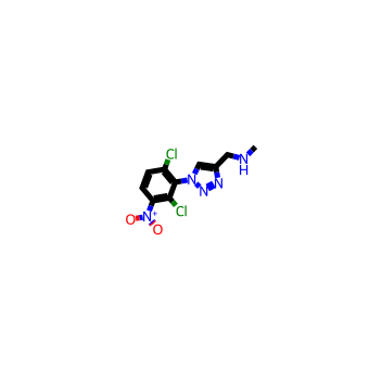 CNCc1cn(-c2c(Cl)ccc([N+](=O)[O-])c2Cl)nn1